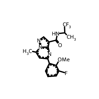 COc1c(F)cccc1-c1cc(C)n2ncc(C(=O)NC(C)C(F)(F)F)c2n1